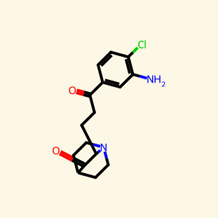 Nc1cc(C(=O)CCC2C(=O)C3CCN2CC3)ccc1Cl